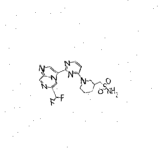 NS(=O)(=O)CC1CCCN(c2ccnc(-c3cnc4cnc(C(F)F)cn34)n2)C1